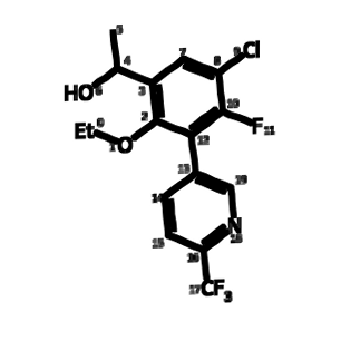 CCOc1c(C(C)O)cc(Cl)c(F)c1-c1ccc(C(F)(F)F)nc1